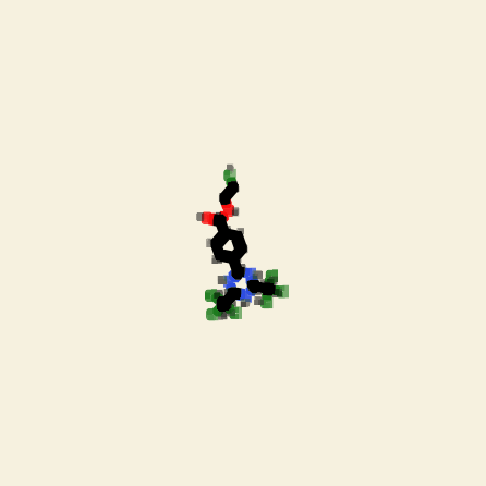 O=C(OCCCl)c1ccc(-c2nc(C(Cl)(Cl)Cl)nc(C(Cl)(Cl)Cl)n2)cc1